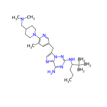 BC(B)(B)C(CCC)Nc1nc(N)c2ncc(Cc3cnc(N4CCC(CN(C)C)CC4)c(C)c3)n2n1